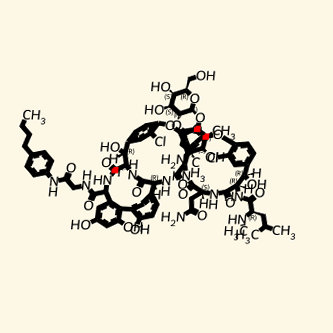 CCCCc1ccc(NC(=O)CNC(=O)C2NC(=O)[C@H]3NC(=O)[C@H](NC(=O)C4NC(=O)[C@H](CC(N)=O)NC(=O)[C@H](NC(=O)[C@@H](CC(C)C)NC)[C@H](O)c5ccc(c(Cl)c5)Oc5cc4cc(c5O[C@@H]4O[C@H](CO)[C@@H](O)[C@H](O)[C@H]4OC4C[C@](C)(N)[C@H](O)[C@H](C)O4)Oc4ccc(cc4Cl)[C@H]3O)c3ccc(O)c(c3)-c3c(O)cc(O)cc32)cc1